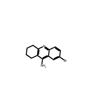 Nc1c2c(nc3ccc(Br)cc13)CCCC2